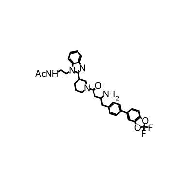 CC(=O)NCCn1c(C2CCCN(C(=O)CC(N)Cc3ccc(-c4ccc5c(c4)OC(F)(F)O5)cc3)C2)nc2ccccc21